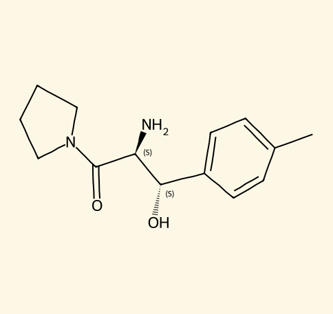 Cc1ccc([C@H](O)[C@H](N)C(=O)N2CCCC2)cc1